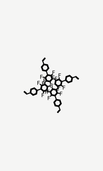 C=Cc1ccc(-c2c(F)c(F)c([B-](c3c(F)c(F)c(-c4ccc(C=C)cc4)c(F)c3F)(c3c(F)c(F)c(-c4ccc(C=C)cc4)c(F)c3F)c3c(F)c(F)c(-c4ccc(C=C)cc4)c(F)c3F)c(F)c2F)cc1